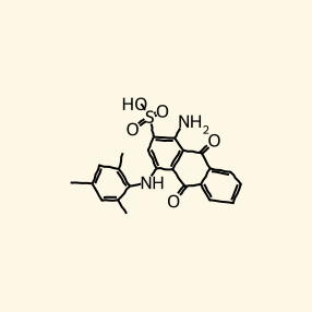 Cc1cc(C)c(Nc2cc(S(=O)(=O)O)c(N)c3c2C(=O)c2ccccc2C3=O)c(C)c1